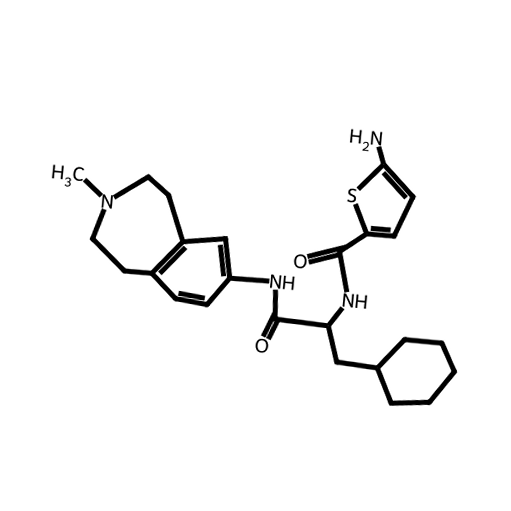 CN1CCc2ccc(NC(=O)C(CC3CCCCC3)NC(=O)c3ccc(N)s3)cc2CC1